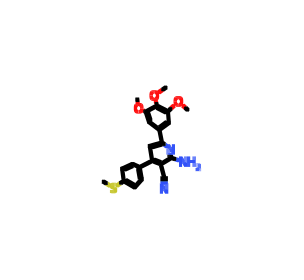 COc1cc(-c2cc(-c3ccc(SC)cc3)c(C#N)c(N)n2)cc(OC)c1OC